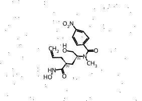 C=CC[C@@H](C[C@@H](CO)N(C)C(=O)c1ccc([N+](=O)[O-])cc1)C(=O)NO